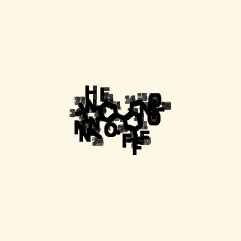 COc1c(-c2cc(C(F)(F)F)cc3c2ccn3S(C)(=O)=O)cc(F)c2c1-n1c(C)nnc1C(C)(C)N2